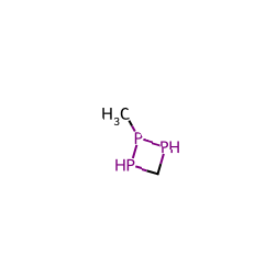 CP1PCP1